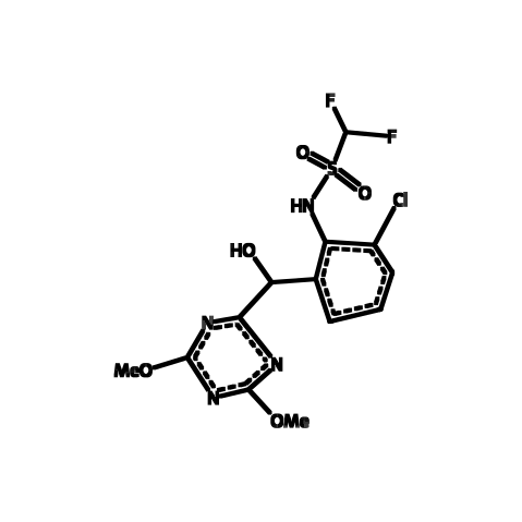 COc1nc(OC)nc(C(O)c2cccc(Cl)c2NS(=O)(=O)C(F)F)n1